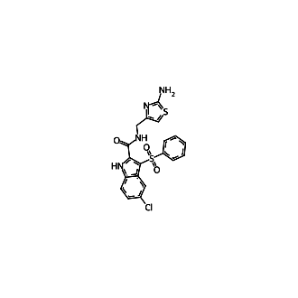 Nc1nc(CNC(=O)c2[nH]c3ccc(Cl)cc3c2S(=O)(=O)c2ccccc2)cs1